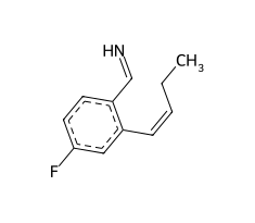 CC/C=C\c1cc(F)ccc1C=N